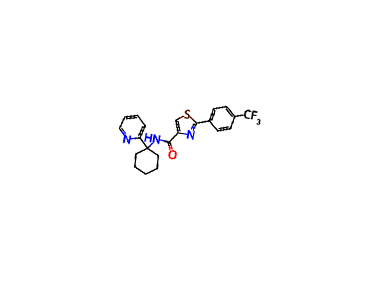 O=C(NC1(c2ccccn2)CCCCC1)c1csc(-c2ccc(C(F)(F)F)cc2)n1